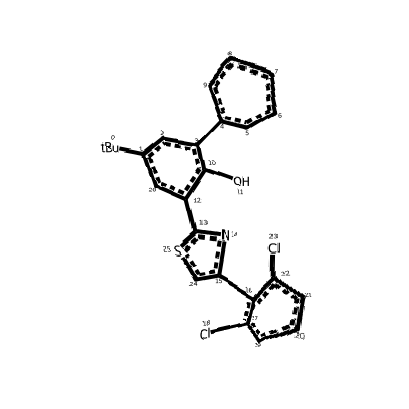 CC(C)(C)c1cc(-c2ccccc2)c(O)c(-c2nc(-c3c(Cl)cccc3Cl)cs2)c1